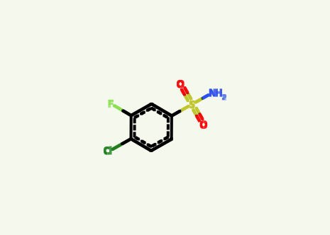 NS(=O)(=O)c1ccc(Cl)c(F)c1